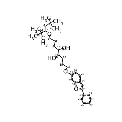 CC(C)(C)CC(OCCCC(O)C(O)CCCOc1ccc2cc(-c3ccccc3)oc2c1)C(C)(C)C